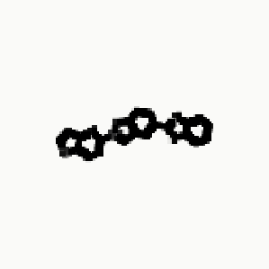 c1ccc2sc(-c3ccc4s[n+](-c5ccc6occc6n5)cc4c3)nc2c1